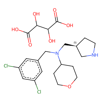 Clc1cc(Cl)cc(CN(C[C@H]2CCNC2)C2CCOCC2)c1.O=C(O)C(O)C(O)C(=O)O